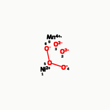 [Mn+4].[Ni+2].[O-2].[O-2].[O-]O[O-]